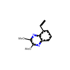 C=Cc1cccc2nc(OC)c(OC)nc12